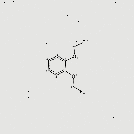 FCOc1ccccc1OCF